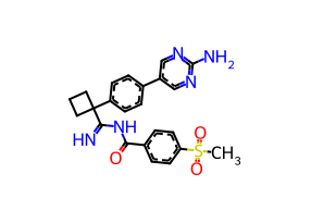 CS(=O)(=O)c1ccc(C(=O)NC(=N)C2(c3ccc(-c4cnc(N)nc4)cc3)CCC2)cc1